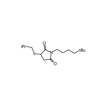 CC(C)CSC1CC(=O)N(CCCCC(C)(C)C)C1=O